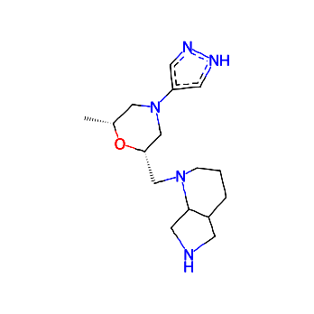 C[C@@H]1CN(c2cn[nH]c2)C[C@H](CN2CCCC3CNCC32)O1